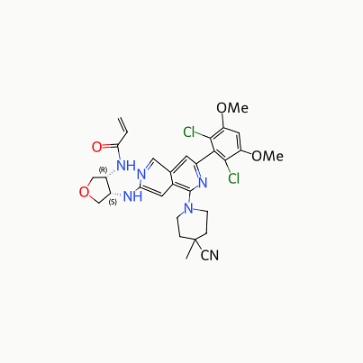 C=CC(=O)N[C@H]1COC[C@H]1Nc1cc2c(N3CCC(C)(C#N)CC3)nc(-c3c(Cl)c(OC)cc(OC)c3Cl)cc2cn1